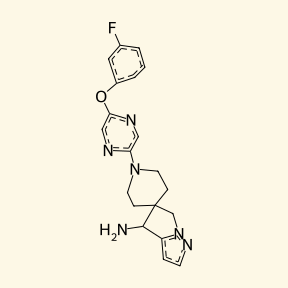 NC1c2ccnn2CC12CCN(c1cnc(Oc3cccc(F)c3)cn1)CC2